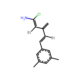 C=C(/C(CC)=C(/N)Cl)/C(=C/c1cc(C)cc(C)c1)CC